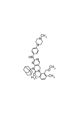 COCc1c(C)ccc(C)c1N1Cc2cnc(Nc3ccc(N4CCN(C)CC4)cc3)nc2N(C23CC4CC(CC(C4)C2)C3)C1=O